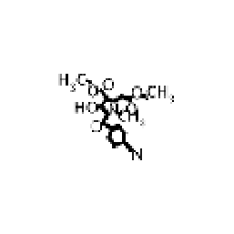 CCOC(=O)Cc1c(C(=O)OCC)c(O)c(C(=O)c2ccc(C#N)cc2)n1C